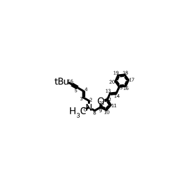 CN(C/C=C/C#CC(C)(C)C)Cc1ccc(/C=C/c2ccccc2)o1